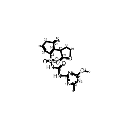 COc1nc(C)nc(NC(=O)NS(=O)(=O)C2=C(C3CCOC3=O)C(=S)CC=C2)n1